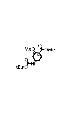 COC(=O)[C@H]1CC[C@H](NC(=O)OC(C)(C)C)C[C@H]1OC